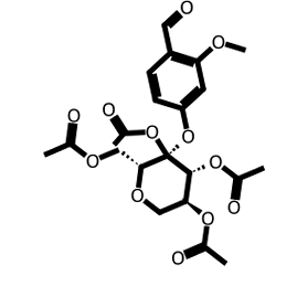 COc1cc(O[C@]2(OC(C)=O)[C@H](OC(C)=O)[C@@H](OC(C)=O)CO[C@@H]2COC(C)=O)ccc1C=O